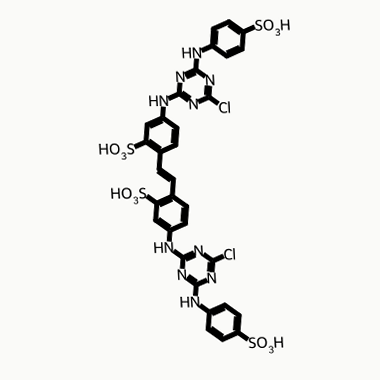 O=S(=O)(O)c1ccc(Nc2nc(Cl)nc(Nc3ccc(/C=C/c4ccc(Nc5nc(Cl)nc(Nc6ccc(S(=O)(=O)O)cc6)n5)cc4S(=O)(=O)O)c(S(=O)(=O)O)c3)n2)cc1